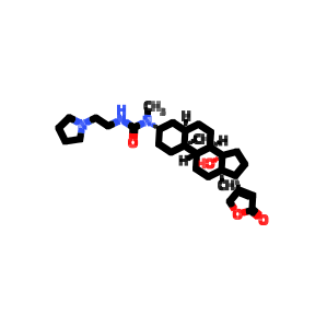 CN(C(=O)NCCN1CCCC1)[C@H]1CC[C@@]2(C)[C@H](CC[C@@H]3[C@@H]2CC[C@]2(C)[C@@H](C4=CC(=O)OC4)CC[C@]32O)C1